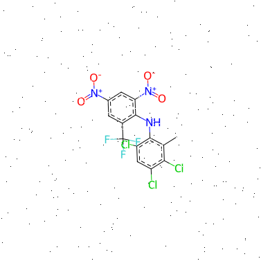 Cc1c(Cl)c(Cl)cc(Cl)c1Nc1c([N+](=O)[O-])cc([N+](=O)[O-])cc1C(F)(F)F